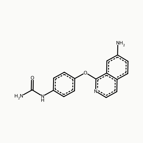 NC(=O)Nc1ccc(Oc2nccc3ccc(N)cc23)cc1